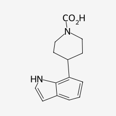 O=C(O)N1CCC(c2cccc3cc[nH]c23)CC1